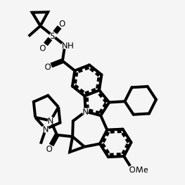 COc1ccc2c(c1)C1CC1(C(=O)N1C3CCC1N(C)C3)Cn1c-2c(C2CCCCC2)c2ccc(C(=O)NS(=O)(=O)C3(C)CC3)cc21